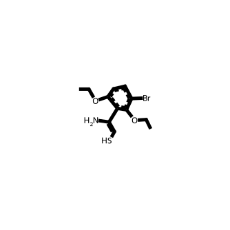 CCOc1ccc(Br)c(OCC)c1/C(N)=C/S